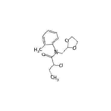 CCC(Cl)C(=O)N(CC1OCCO1)c1ccccc1C